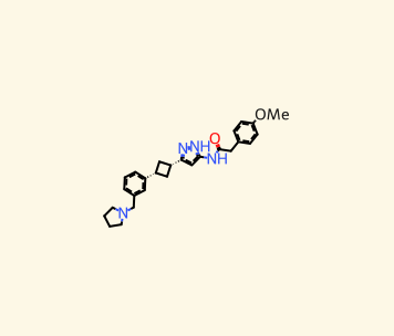 COc1ccc(CC(=O)Nc2cc([C@H]3C[C@@H](c4cccc(CN5CCCC5)c4)C3)n[nH]2)cc1